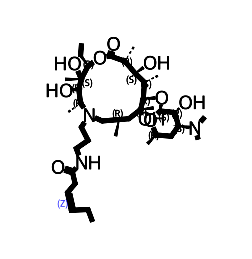 CC/C=C\CC(=O)NCCCN1C[C@H](C)C[C@@](C)(O)[C@H](O[C@@H]2O[C@H](C)C[C@H](N(C)C)[C@H]2O)[C@@H](C)[C@H](O)[C@@H](C)C(=O)O[C@H](CC)[C@@](C)(O)[C@H](O)[C@H]1C